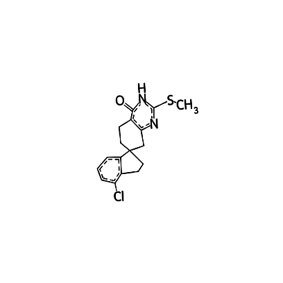 CSc1nc2c(c(=O)[nH]1)CCC1(CCc3c(Cl)cccc31)C2